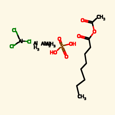 CCCCCCCC(=O)OC(C)=O.O=S(=O)(O)O.[AlH3].[AlH3].[AlH3].[Cl][Al]([Cl])[Cl]